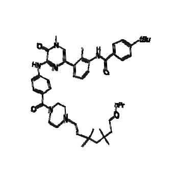 CCCOCCC(C)(C)CC(C)(C)CCN1CCN(C(=O)c2ccc(Nc3nc(-c4cccc(NC(=O)c5ccc(C(C)(C)C)cc5)c4C)cn(C)c3=O)cc2)CC1